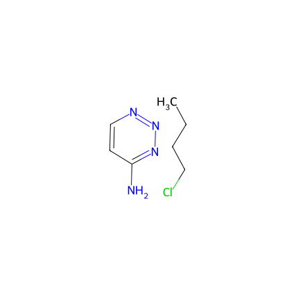 CCCCCl.Nc1ccnnn1